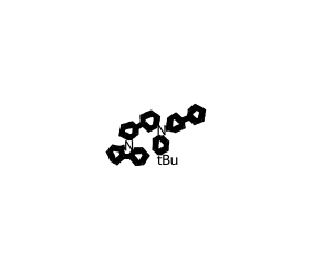 CC(C)(C)c1ccc(N(c2ccc(-c3ccccc3)cc2)c2cccc(-c3cccc(-n4c5ccccc5c5ccccc54)c3)c2)cc1